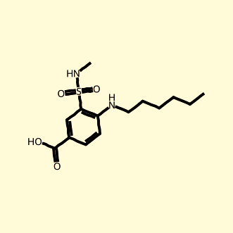 CCCCCCNc1ccc(C(=O)O)cc1S(=O)(=O)NC